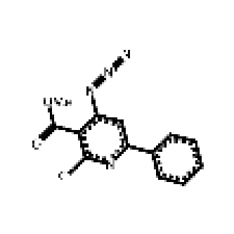 COC(=O)c1c(N=[N+]=[N-])cc(-c2ccccc2)nc1Cl